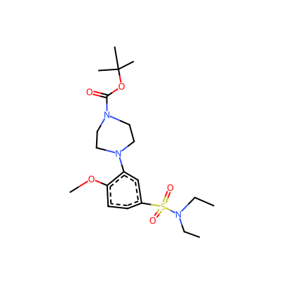 CCN(CC)S(=O)(=O)c1ccc(OC)c(N2CCN(C(=O)OC(C)(C)C)CC2)c1